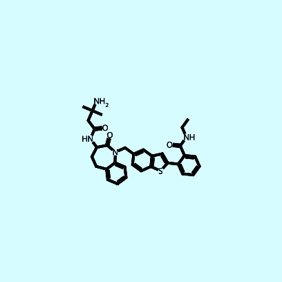 CCNC(=O)c1ccccc1-c1cc2cc(CN3C(=O)C(NC(=O)CC(C)(C)N)CCc4ccccc43)ccc2s1